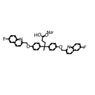 CC(CCC(=O)O)(c1ccc(OCc2ccc3cc(F)ccc3n2)cc1)c1ccc(OCc2ccc3cc(F)ccc3n2)cc1.[Na]